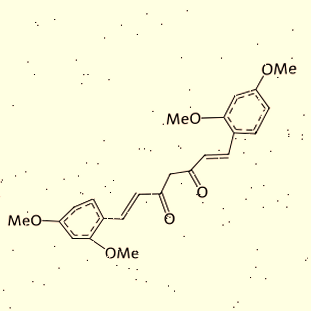 COc1ccc(/C=C/C(=O)CC(=O)/C=C/c2ccc(OC)cc2OC)c(OC)c1